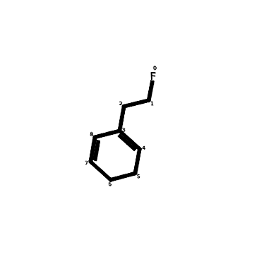 FCCC1=CCCC=C1